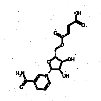 NC(=O)C1=CN([C@@H]2O[C@H](COC(=O)/C=C/C(=O)O)[C@@H](O)[C@H]2O)C=CC1